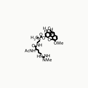 CNC(=N)NCCC[C@H](NC(C)=O)C(=O)NCCN(C)C(=O)OC1=CCC2(O)[C@H]3Cc4ccc(OC)c5c4[C@@]2(CCN3C)C1O5